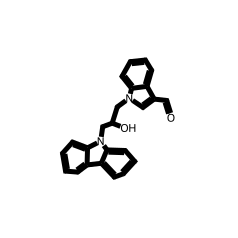 O=Cc1cn(CC(O)Cn2c3ccccc3c3ccccc32)c2ccccc12